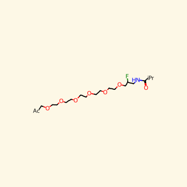 CC(=O)COCCOCCOCCOCCOCCOCC(F)CNC(=O)C(C)C